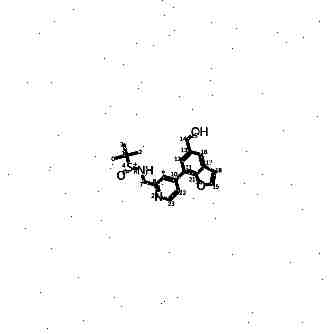 CC(C)(C)[S+]([O-])NCc1cc(-c2cc(CO)cc3ccoc23)ccn1